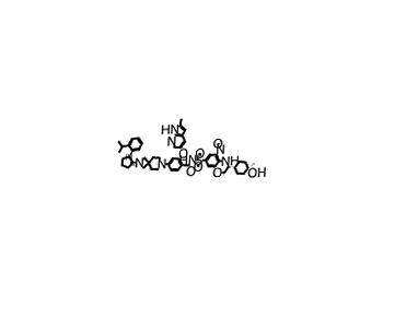 Cc1cc2cc(Oc3cc(N4CCC5(CC4)CN([C@H]4CCC[C@H]4c4ccccc4C(C)C)C5)ccc3C(=O)NS(=O)(=O)c3cc(N=O)c4c(c3)OCC([C@H]3CC[C@](C)(O)CC3)N4)cnc2[nH]1